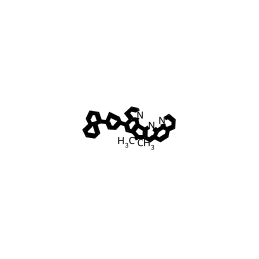 CC1(C)c2cc3ccc4cccnc4c3nc2-c2c1cc(-c1ccc(-c3cccc4ccccc34)cc1)c1cccnc21